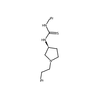 CC(C)CCN1CC[C@H](NC(=S)NC(C)C)C1